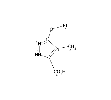 CCOc1n[nH]c(C(=O)O)c1C